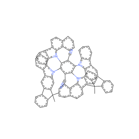 CC1(C)c2ccccc2-c2cc3c4ccccc4n(-c4c(C#N)c(-n5c6ccccc6c6ccc7ccccc7c65)c(-n5c6ccccc6c6cc7c(cc65)C(C)(C)c5ccccc5-7)c(C#N)c4-n4c5ccccc5c5ccc6ccccc6c54)c3cc21